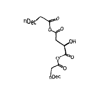 CCCCCCCCCCCC(=O)OC(=O)CC(O)C(=O)OC(=O)CCCCCCCCCCC